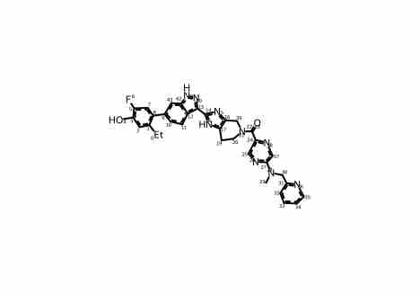 CCc1cc(O)c(F)cc1-c1ccc2c(-c3nc4c([nH]3)CCN(C(=O)c3cnc(N(C)Cc5ccccn5)cn3)C4)n[nH]c2c1